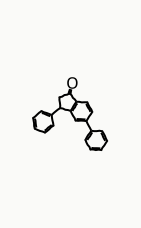 O=C1CC(c2ccccc2)c2cc(-c3ccccc3)ccc21